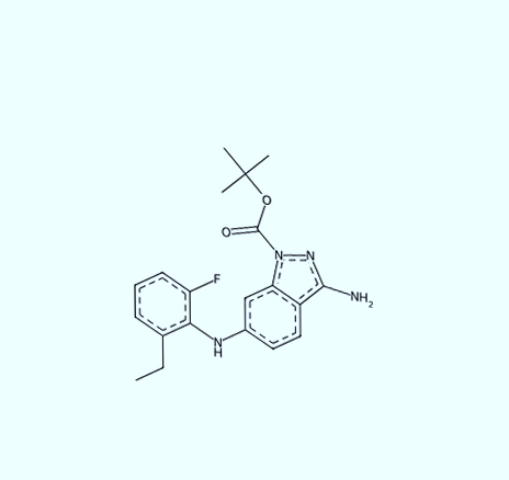 CCc1cccc(F)c1Nc1ccc2c(N)nn(C(=O)OC(C)(C)C)c2c1